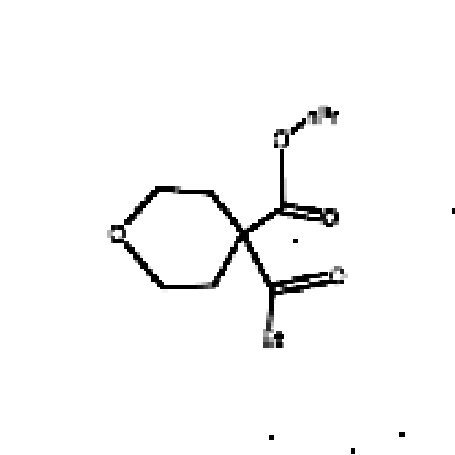 CCCOC(=O)C1(C(=O)CC)CCOCC1